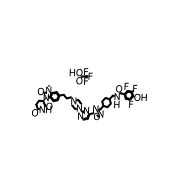 Cn1c(=O)n([C@@H]2CCC(=O)NC2=O)c2ccc(CCCN3CCN(c4nccc(-c5nc(C6CCC(CNC(=O)c7cc(F)c(O)c(F)c7F)CC6)no5)n4)CC3)cc21.O=C(O)C(F)(F)F